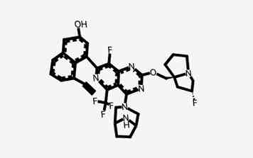 C#Cc1cccc2cc(O)cc(-c3nc(C(F)(F)F)c4c(N5CC6CCC(C5)N6)nc(OC[C@@]56CCCN5C[C@H](F)C6)nc4c3F)c12